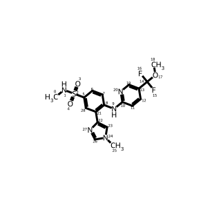 CNS(=O)(=O)c1ccc(Nc2ccc(C(F)(F)OC)cn2)c(-c2cn(C)cn2)c1